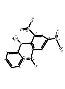 NN(c1ccccc1)c1c([N+](=O)[O-])cc([N+](=O)[O-])cc1[N+](=O)[O-]